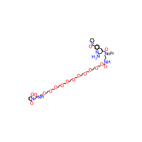 CCCN(CCCNC(=O)OCCOCCOCCOCCOCCOCCOCCOCCOCCOCCOCCNC(=O)CN1C(=O)C=CC1=O)C(=O)C1=Cc2ccc(C(=O)N3CCCC3)cc2N=C(N)C1